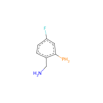 NCc1ccc(F)cc1P